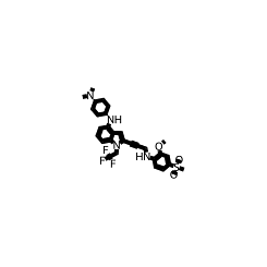 COc1cc(S(C)(=O)=O)ccc1NCC#Cc1cc2c(N[C@H]3CC[C@@H](N(C)C)CC3)cccc2n1CC(F)(F)F